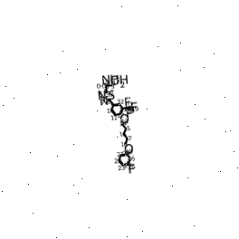 C[C@](N)(CO)c1nnc(-c2ccc(OCCCCCOc3cccc(F)c3)c(C(F)(F)F)c2)s1